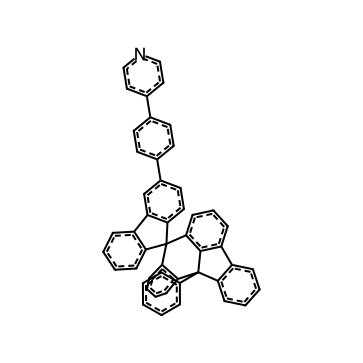 c1ccc(C23c4ccccc4-c4cccc(c42)C2(c4ccccc4-c4cc(-c5ccc(-c6ccncc6)cc5)ccc42)c2ccccc23)cc1